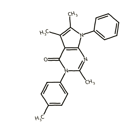 Cc1ccc(-n2c(C)nc3c(c(C)c(C)n3-c3ccccc3)c2=O)cc1